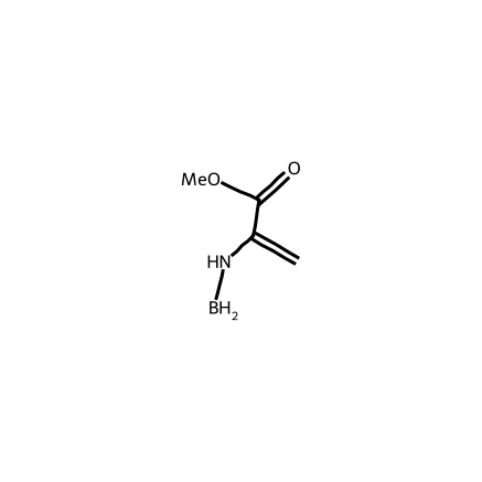 BNC(=C)C(=O)OC